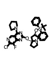 CC(C)(C)[Si](O[C@H]1CN2CCC[C@@]2(COc2nc(N3CCCCC3)c3cnc(Cl)c(F)c3n2)C1)(c1ccccc1)c1ccccc1